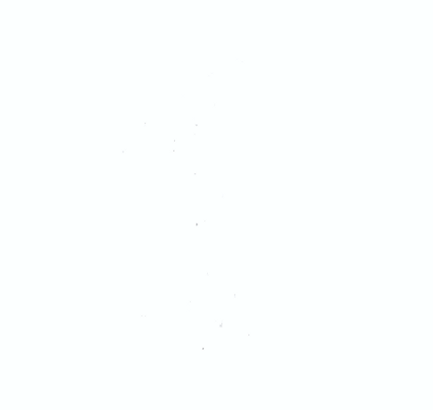 CCO[Si](C)(CCCSCCC[Si](C)(OCC)OCC)OCC